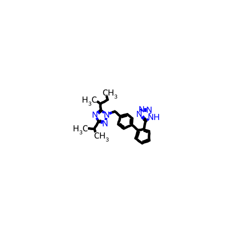 CCC(C)c1nc(C(C)C)nn1Cc1ccc(-c2ccccc2-c2nnn[nH]2)cc1